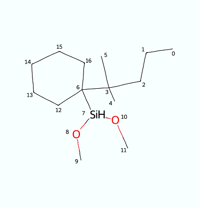 CCCC(C)(C)C1([SiH](OC)OC)CCCCC1